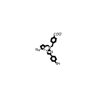 CC(C)c1ccc(-c2csc(N(Cc3ccc(C(=O)[O-])cc3)Cc3cccs3)n2)cc1.[Na+]